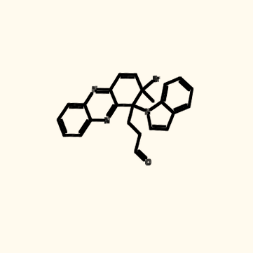 CC1(Br)C=Cc2nc3ccccc3nc2C1(CCC=O)n1ccc2ccccc21